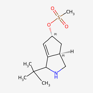 CC(C)(C)C1NC[C@@H]2C[C@@H](OS(C)(=O)=O)C=C12